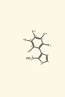 O=S(=O)(O)c1sccc1-c1c(F)c(F)c(F)c(F)c1F